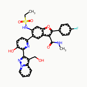 CCS(=O)(=O)Nc1cc2oc(-c3ccc(F)cc3)c(C(=O)NC)c2cc1-c1ccc(O)c(-c2nn3ccccc3c2CO)n1